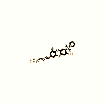 O=C(O)CON=Cc1cc(Br)c(Oc2ccc(O)c(S(=O)(=O)N3CCCC3)c2)c(Br)c1